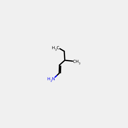 CCC(C)C=CN